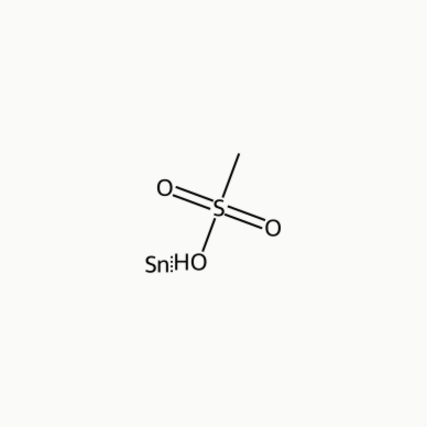 CS(=O)(=O)O.[Sn]